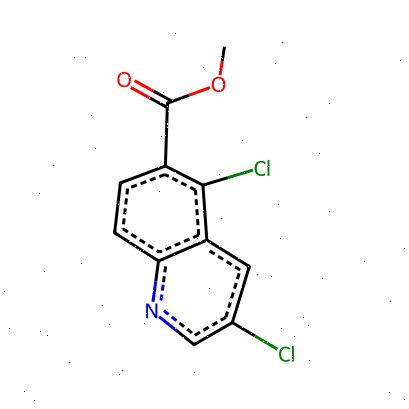 COC(=O)c1ccc2ncc(Cl)cc2c1Cl